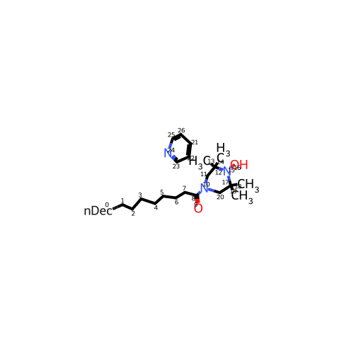 CCCCCCCCCCCCCCCCCC(=O)N1CC(C)(C)N(O)C(C)(C)C1.c1ccncc1